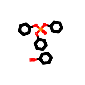 O=P(Oc1ccccc1)(Oc1ccccc1)Oc1ccccc1.Oc1ccccc1